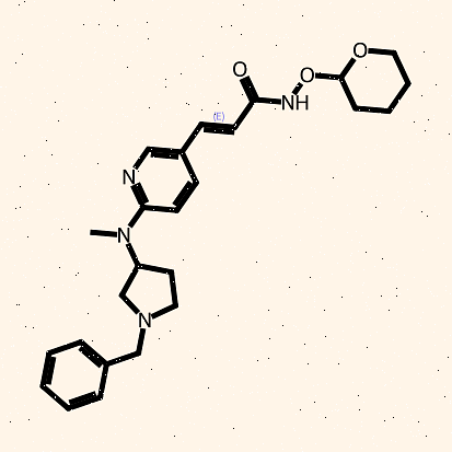 CN(c1ccc(/C=C/C(=O)NOC2CCCCO2)cn1)C1CCN(Cc2ccccc2)C1